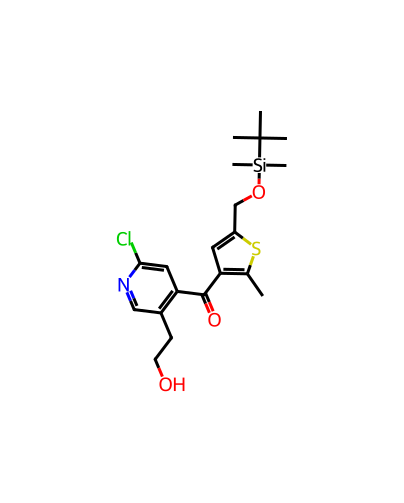 Cc1sc(CO[Si](C)(C)C(C)(C)C)cc1C(=O)c1cc(Cl)ncc1CCO